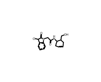 O=C(CN1C(=O)C(Cl)c2ccccc21)NC1CC=CCC1CO